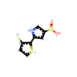 O=S(O)c1c[nH]c(-c2sccc2F)c1